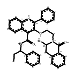 CCC(NC(=O)c1c(OCCN2C(=O)c3ccccc3CC2O)c(-c2ccccc2)nc2ccccc12)c1ccccc1